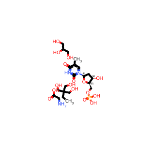 CCC(CO)(CO)CO.Cc1cn([C@H]2C[C@H](O)[C@@H](COP(=O)(O)O)O2)c(=O)[nH]c1=O.NCC(=O)O.OCC(O)CO